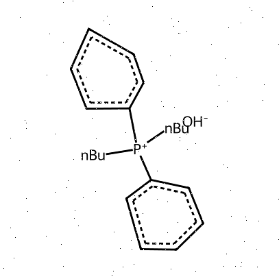 CCCC[P+](CCCC)(c1ccccc1)c1ccccc1.[OH-]